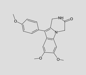 COc1ccc(-c2c3n(c4cc(OC)c(OC)cc24)CC(=O)NC3)cc1